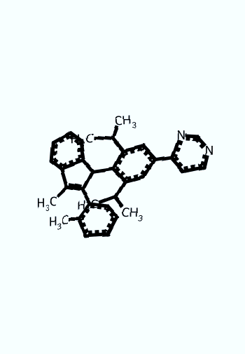 CC1=C(c2ccccc2C)C(c2c(C(C)C)cc(-c3ccncn3)cc2C(C)C)c2ccccc21